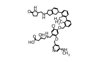 CNc1cncc(COc2cc(OCc3cccc(-c4cccc(C5C=CC6=C(CC(NCC7CCC(=O)N7)C6)C5)c4C)c3C)c(Cl)cc2CNC[C@@H](O)CC(=O)O)c1